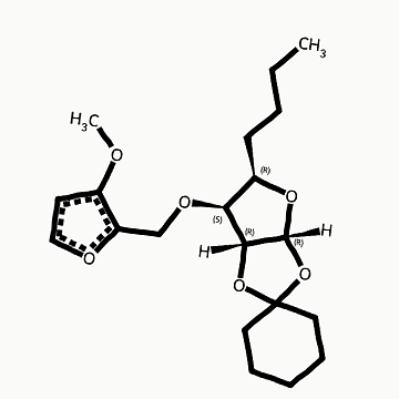 CCCC[C@H]1O[C@@H]2OC3(CCCCC3)O[C@@H]2[C@H]1OCc1occc1OC